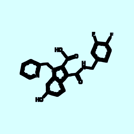 O=C(NCc1ccc(F)c(F)c1)c1c(C(=O)O)n(Cc2ccccn2)c2cc(O)ccc12